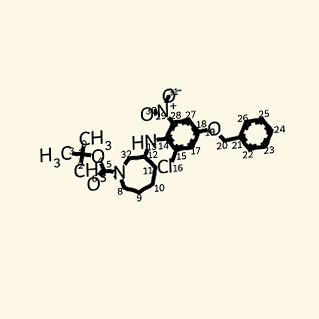 CC(C)(C)OC(=O)N1CCCCC(Nc2c(Cl)cc(OCc3ccccc3)cc2[N+](=O)[O-])C1